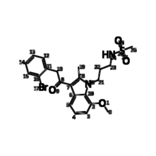 COc1cccc2c(C(=O)Cc3ccccc3Br)c(C)n(CCCNS(C)(=O)=O)c12